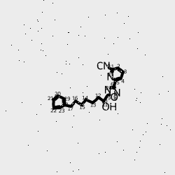 [C-]#[N+]c1cccc(-c2noc(C(O)CCCCCCc3ccccc3)n2)n1